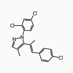 CC(=Cc1ccc(Cl)cc1)c1c(C)[c]nn1-c1ccc(Cl)cc1Cl